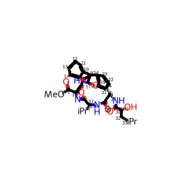 COC(=O)c1nc2oc1CC13c4ccccc4NC1Oc1ccc(cc13)C[C@H](NC(=O)[C@@H](O)CC(C)C)C(=O)N[C@H]2C(C)C